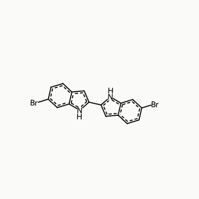 Brc1ccc2cc(-c3cc4ccc(Br)cc4[nH]3)[nH]c2c1